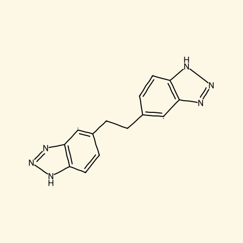 [c]1c(CCc2[c]c3nn[nH]c3cc2)ccc2[nH]nnc12